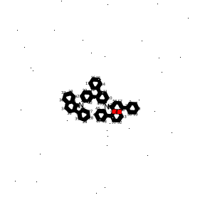 c1ccc(-c2ccc(N(c3ccc(-c4ccccc4)c(-c4cccc(-n5c6ccccc6c6ccc7ccccc7c65)c4)c3)c3ccccc3-c3ccccc3)cc2)cc1